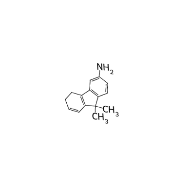 CC1(C)C2=C(CCC=C2)c2cc(N)ccc21